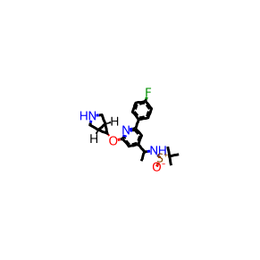 CC(N[S+]([O-])C(C)(C)C)c1cc(O[C@H]2[C@@H]3CNC[C@@H]32)nc(-c2ccc(F)cc2)c1